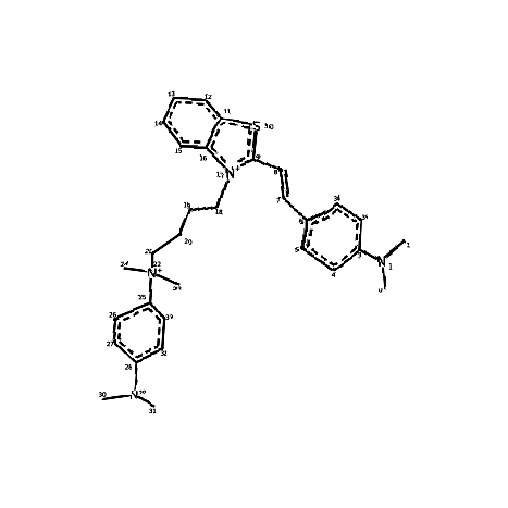 CN(C)c1ccc(/C=C/c2sc3ccccc3[n+]2CCCC[N+](C)(C)c2ccc(N(C)C)cc2)cc1